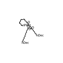 CCCCC/C=C\C/C=C\C/C=C\C/C=C\CCCC(=O)OC[C@H](COC(=O)CCCCCCCCCCCCCCCCC)OC(=O)CCCCCCCCCCCCCCCCCCCCCCC